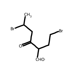 CC(Br)CC(=O)C([C]=O)CCBr